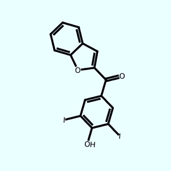 O=C(c1cc(I)c(O)c(I)c1)c1cc2ccccc2o1